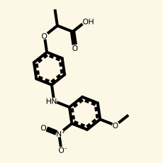 COc1ccc(Nc2ccc(OC(C)C(=O)O)cc2)c([N+](=O)[O-])c1